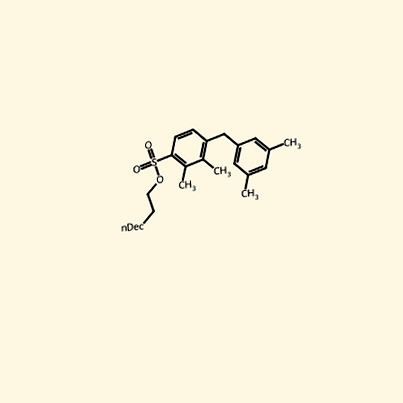 CCCCCCCCCCCCOS(=O)(=O)c1ccc(Cc2cc(C)cc(C)c2)c(C)c1C